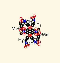 COc1ccccc1OC(=O)C(c1cccs1)N1C(=O)c2cc(Oc3ccc(C(C)(C)CN(CC4CO4)CC4CO4)cc3)c3c4c(Oc5ccc(C(C)(C)CN(CC6CO6)CC6CO6)cc5)cc5c6c(cc(Oc7ccc(C(C)(C)CN(CC8CO8)CC8CO8)cc7)c(c7c(Oc8ccc(C(C)(C)CN(CC9CO9)CC9CO9)cc8)cc(c2c37)C1=O)c64)C(=O)N(C(C(=O)Oc1ccccc1OC)c1cccs1)C5=O